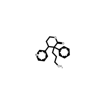 CCCCC1(c2ccccc2)C(=O)OCCC1c1cccnc1